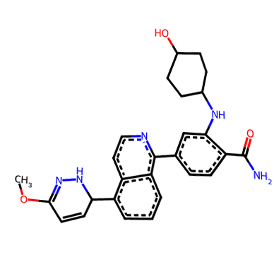 COC1=NNC(c2cccc3c(-c4ccc(C(N)=O)c(NC5CCC(O)CC5)c4)nccc23)C=C1